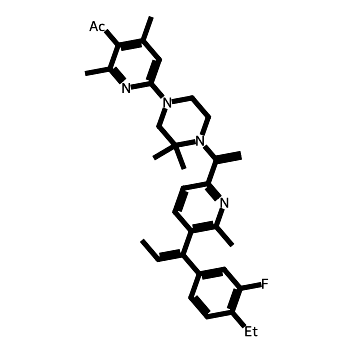 C=C(c1ccc(/C(=C\C)c2ccc(CC)c(F)c2)c(C)n1)N1CCN(c2cc(C)c(C(C)=O)c(C)n2)CC1(C)C